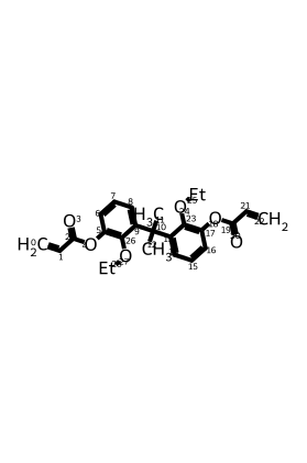 C=CC(=O)Oc1cccc(C(C)(C)c2cccc(OC(=O)C=C)c2OCC)c1OCC